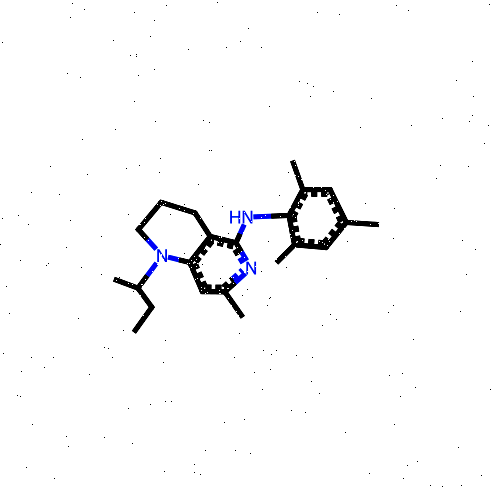 CCC(C)N1CCCc2c1cc(C)nc2Nc1c(C)cc(C)cc1C